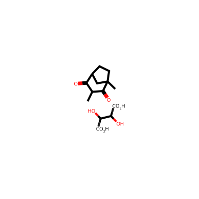 CC1C(=O)C2CCC(C)(C2)C1=O.O=C(O)C(O)C(O)C(=O)O